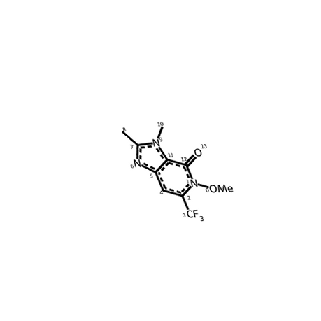 COn1c(C(F)(F)F)cc2nc(C)n(C)c2c1=O